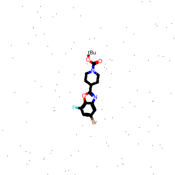 CC(C)(C)OC(=O)N1CCC(c2nc3cc(Br)cc(F)c3o2)CC1